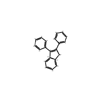 c1ccc(C2=C(c3ccccc3)c3ccccc3C2)cc1